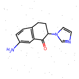 Nc1ccc2c(c1)C(=O)C(n1ccnc1)CC2